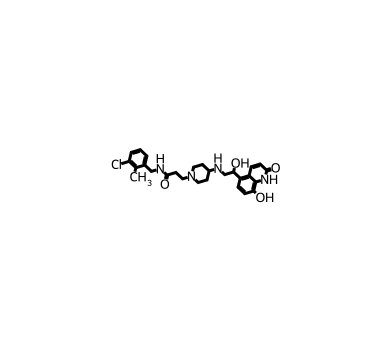 Cc1c(Cl)cccc1CNC(=O)CCN1CCC(NCC(O)c2ccc(O)c3[nH]c(=O)ccc23)CC1